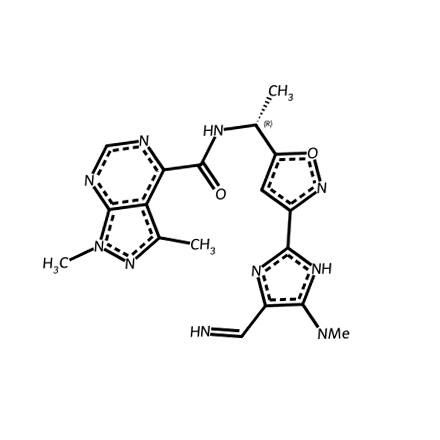 CNc1[nH]c(-c2cc([C@@H](C)NC(=O)c3ncnc4c3c(C)nn4C)on2)nc1C=N